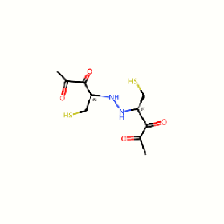 CC(=O)C(=O)[C@H](CS)NN[C@@H](CS)C(=O)C(C)=O